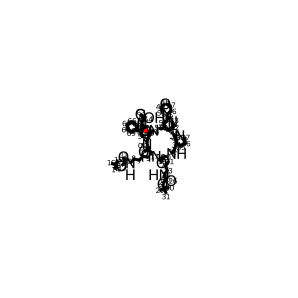 CN1C(=O)[C@H](CCCCNC(=O)OC(C)(C)C)NC(=O)[C@H](CCCNC(=O)OC(C)(C)C)NCc2cccnc2Sc2cnc(N3CCOCC3)cc2CNC(=O)[C@@H]1Cc1cn(C(=O)O)c2ccccc12